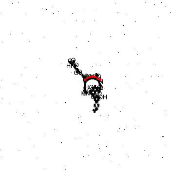 CC(=O)O[C@H]1[C@H](C)[C@H](O)[C@H](C)[C@@H](OC(=O)CCCOC(=O)CCC(=O)NC(C=O)C=O)[C@@H](C)/C=C/C=C(/C)C(=O)Nc2c3oc4cc(N5CCN(CC(C)C)CC5)cc(O)c4nc-3c3c4c(c(C)c(O)c3c2=O)O[C@](C)(O/C=C/[C@H](C)[C@H]1C)C4=O